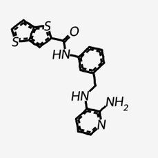 Nc1ncccc1NCc1cccc(NC(=O)c2cc3sccc3s2)c1